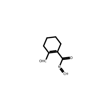 [CH]=NC(=O)C1=C(C=O)CCCC1